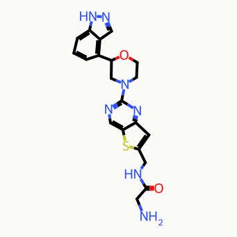 NCC(=O)NCc1cc2nc(N3CCOC(c4cccc5[nH]ncc45)C3)ncc2s1